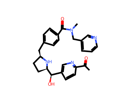 CC(=O)c1ccc([C@@H](O)[C@H]2CC[C@@H](Cc3ccc(C(=O)N(C)Cc4cccnc4)cc3)N2)cn1